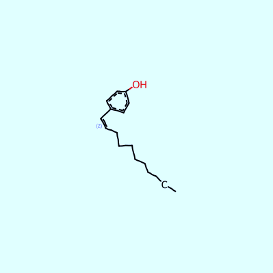 CCCCCCCCC/C=C\c1ccc(O)cc1